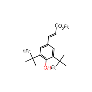 CCCC(C)(C)c1cc(C=CC(=O)OCC)cc(C(C)(C)CC)c1O